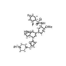 COc1ncc(-c2cc(-c3ncc(CN4CCN(C(C)C)CC4)o3)c3cn[nH]c3c2)cc1NS(=O)(=O)c1ccc(F)cc1F